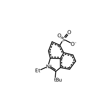 CC[N+]1=C(C(C)(C)C)c2cccc3c(S(=O)(=O)[O-])ccc1c23